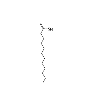 C=C(S)CCCCCCCCCCC